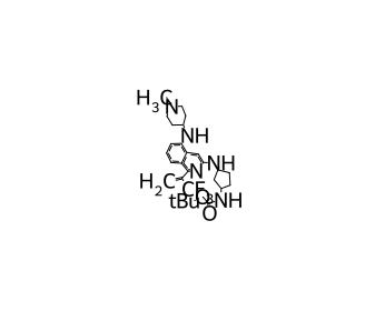 C=C(c1nc(NC2CCC(NC(=O)OC(C)(C)C)C2)cc2c(NC3CCN(C)CC3)cccc12)C(F)(F)F